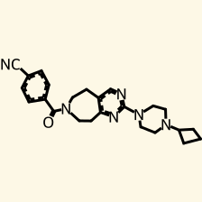 N#Cc1ccc(C(=O)N2CCc3cnc(N4CCN(C5CCC5)CC4)nc3CC2)cc1